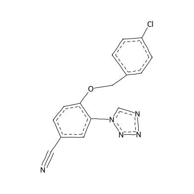 N#Cc1ccc(OCc2ccc(Cl)cc2)c(-n2cnnn2)c1